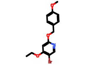 CCOc1cc(OCc2ccc(OC)cc2)ncc1Br